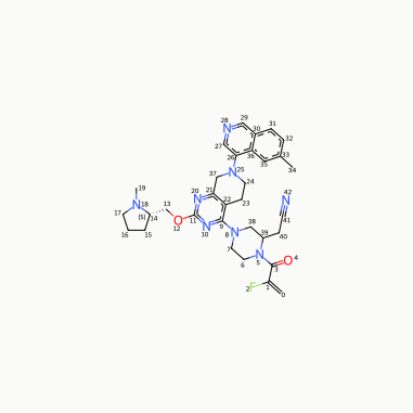 C=C(F)C(=O)N1CCN(c2nc(OC[C@@H]3CCCN3C)nc3c2CCN(c2cncc4ccc(C)cc24)C3)CC1CC#N